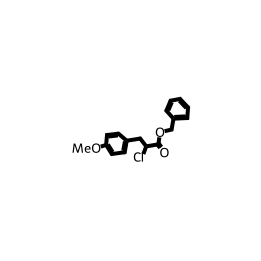 COc1ccc(CC(Cl)C(=O)OCc2ccccc2)cc1